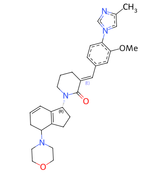 COc1cc(/C=C2\CCCN([C@@H]3CCC4=C3C=CCC4N3CCOCC3)C2=O)ccc1-n1cnc(C)c1